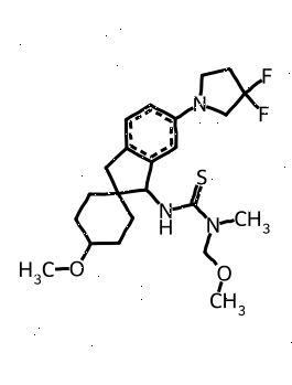 COCN(C)C(=S)NC1c2cc(N3CCC(F)(F)C3)ccc2CC12CCC(OC)CC2